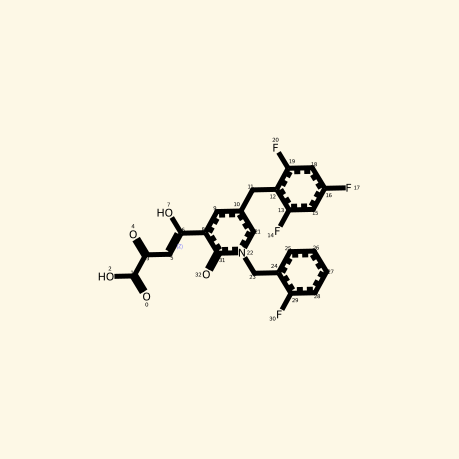 O=C(O)C(=O)/C=C(\O)c1cc(Cc2c(F)cc(F)cc2F)cn(Cc2ccccc2F)c1=O